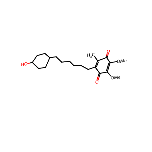 COC1=C(OC)C(=O)C(CCCCCCC2CCC(O)CC2)=C(C)C1=O